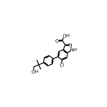 CC(C)(CO)c1ccc(-c2cc3c(C(=O)O)n[nH]c3cc2Cl)cc1